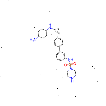 NC1CCC(NC2C[C@@H]2c2ccc(-c3cccc(NS(=O)(=O)N4CCNCC4)c3)cc2)CC1